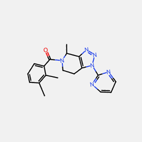 Cc1cccc(C(=O)N2CCc3c(nnn3-c3ncccn3)C2C)c1C